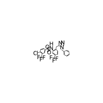 O=S(=O)(Nc1cc(C(F)(F)F)ccc1Cc1nncn1Cc1ccccc1)c1ccc(Cl)c(C(F)(F)F)c1